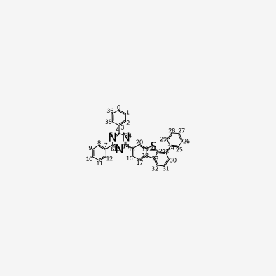 c1ccc(-c2nc(-c3ccccc3)nc(-c3ccc4c(c3)sc3c(-c5ccccc5)cccc34)n2)cc1